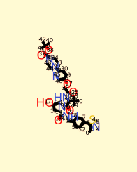 Cc1ncsc1-c1ccc(CNC(=O)[C@@H]2C[C@@H](O)CN2C(=O)[C@@H](NC(=O)COc2ccc(N3CCN(C(=O)OC(C)(C)C)CC3)nc2)C(C)(C)C)cc1